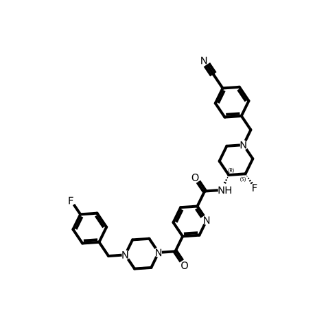 N#Cc1ccc(CN2CC[C@@H](NC(=O)c3ccc(C(=O)N4CCN(Cc5ccc(F)cc5)CC4)cn3)[C@@H](F)C2)cc1